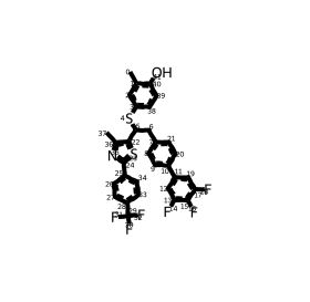 Cc1cc(SC(Cc2ccc(-c3cc(F)c(F)c(F)c3)cc2)c2sc(-c3ccc(C(F)(F)F)cc3)nc2C)ccc1O